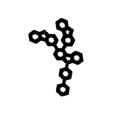 c1ccc(-c2ccc(-n3c4ccccc4c4c(-c5ccc6oc7ccccc7c6c5)c(-c5ccc6oc7ccccc7c6c5)ccc43)cc2)cc1